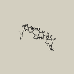 COc1nc(N[C@@H]2CCN(C(C)=O)CC2(F)F)nn2ccc(-c3ccc4nnn([C@@H](C)CF)c4c3)c12